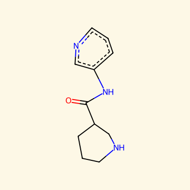 O=C(Nc1cccnc1)C1CCCNC1